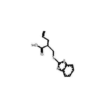 C=CCC(CSc1nc2ccccc2s1)C(=O)O